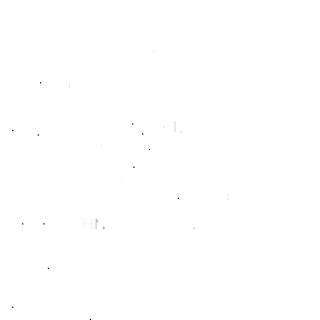 N=S(SC(F)(Cl)Cl)SC(F)(Cl)Cl